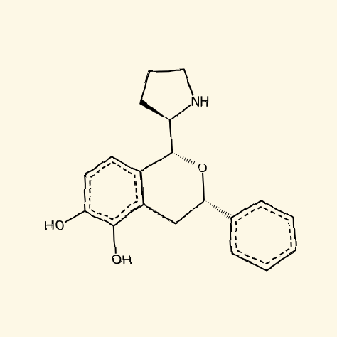 Oc1ccc2c(c1O)C[C@@H](c1ccccc1)O[C@H]2[C@H]1CCCN1